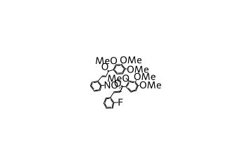 COc1ccc(C(=O)/C=C/c2ccccc2F)c(OC)c1OC.COc1ccc(C(=O)/C=C/c2ccccc2[N+](=O)[O-])c(OC)c1OC